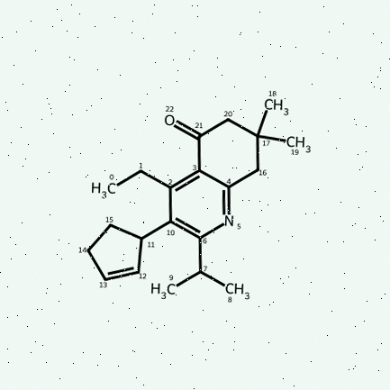 CCc1c2c(nc(C(C)C)c1C1C=CCC1)CC(C)(C)CC2=O